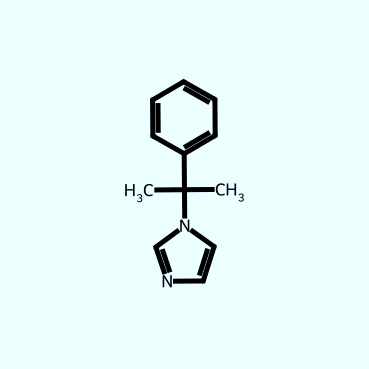 CC(C)(c1ccccc1)n1ccnc1